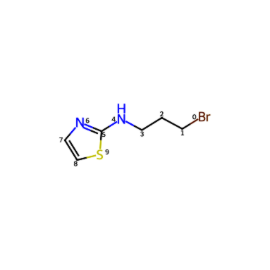 BrCCCNc1nccs1